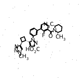 C[C@@H]1CCC[C@H](C)N1C(=O)c1cccc(-c2cccc(-n3ncc(C(=O)O)c3[C@H]3CC[C@@H]3c3cn(C)nn3)c2)c1F